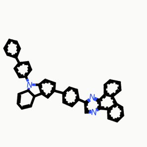 C1=CC2c3cc(-c4ccc(-c5cnc6c7ccccc7c7ccccc7c6n5)cc4)ccc3N(c3ccc(-c4ccccc4)cc3)C2C=C1